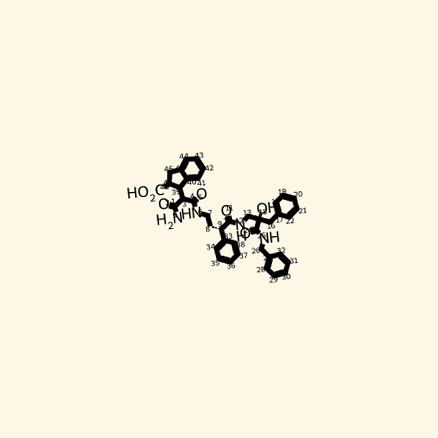 NC(=O)C(C(=O)NCC[C@H](C(=O)NC[C@](O)(Cc1ccccc1)C(=O)NCc1ccccc1)c1ccccc1)C1c2ccccc2CC1C(=O)O